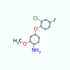 COc1cc(Oc2ccc(F)cc2Cl)ccc1N